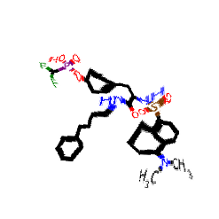 CN(C)c1cccc2c(S(=O)(=O)NC(Cc3ccc(OP(=O)(O)C(F)F)cc3)C(=O)NCCCCc3ccccc3)cccc12